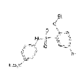 CCOC(=O)c1ccc(NS(=O)(=O)c2cc(Br)ccc2OCC)cc1